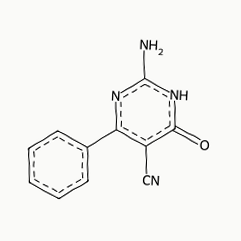 N#Cc1c(-c2ccccc2)nc(N)[nH]c1=O